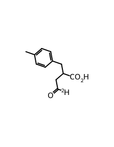 [2H]C(=O)CC(Cc1ccc(C)cc1)C(=O)O